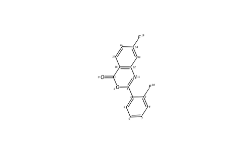 O=c1oc(-c2ccccc2F)nc2cc(F)ccc12